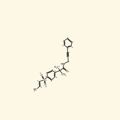 CC(C)(C(=O)NCC#Cc1ccccc1)c1ccc(S(=O)(=O)/C=C/C#N)cc1